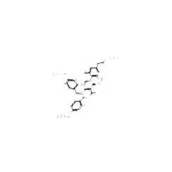 COCCc1cc(N)c(-n2cnc(N(Cc3ccc(OC)cc3)Cc3ccc(OC)cc3)c(C(=O)OC)c2=O)c(Cl)c1